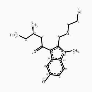 CC(C)CCOCc1c(C(=O)C[C@H](C)CC(=O)O)c2cc(Cl)ccc2n1C